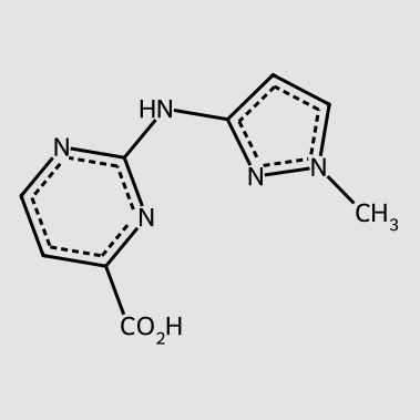 Cn1ccc(Nc2nccc(C(=O)O)n2)n1